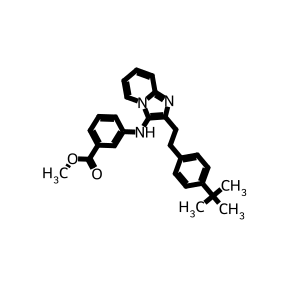 COC(=O)c1cccc(Nc2c(CCc3ccc(C(C)(C)C)cc3)nc3ccccn23)c1